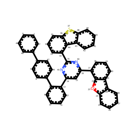 c1ccc(-c2ccc(-c3ccccc3-c3cc(-c4cccc5c4oc4ccccc45)nc(-c4cccc5sc6ccccc6c45)n3)cc2)cc1